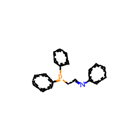 C(CP(c1ccccc1)c1ccccc1)=Nc1ccccc1